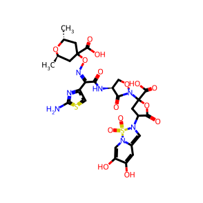 C[C@@H]1CC(O/N=C(\C(=O)N[C@H]2CON(C3(C(=O)O)CC(N4C=C5C=C(O)C(O)=CN5S4(=O)=O)C(=O)O3)C2=O)c2csc(N)n2)(C(=O)O)C[C@@H](C)O1